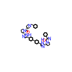 CN(C)[C@@H](C(=O)N1CCC[C@H]1c1ncc(-c2ccc(-c3ccc(-c4cnc([C@@H]5CCCN5C(=O)[C@@H]5CCN(Cc6ccccc6)C5)[nH]4)cc3)cc2)[nH]1)c1ccccc1